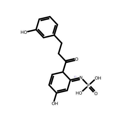 O=C(CCc1cccc(O)c1)C1C=CC(O)=C/C1=N\P(=O)(O)O